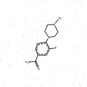 CC(=O)N1CCN(c2ccc(C(N)=O)cc2F)CC1